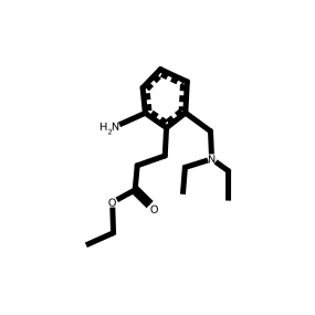 CCOC(=O)CCc1c(N)cccc1CN(CC)CC